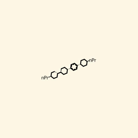 CCC[C@H]1CC[C@H](c2ccc([C@H]3CC[C@H]([C@H]4CC[C@H](CCC)CC4)CC3)cc2)CC1